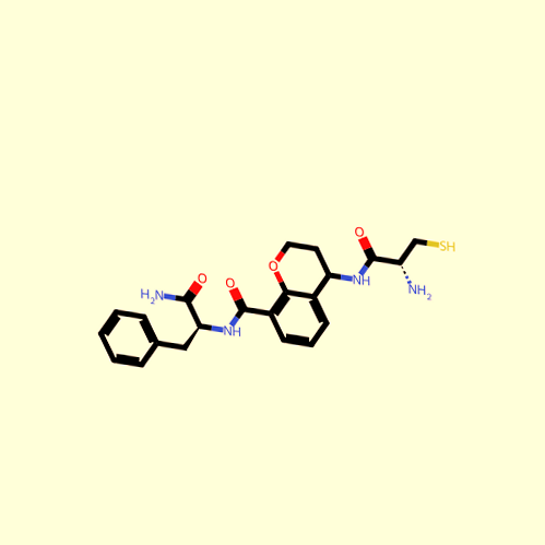 NC(=O)[C@H](Cc1ccccc1)NC(=O)c1cccc2c1OCCC2NC(=O)[C@@H](N)CS